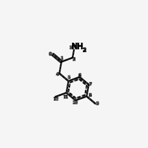 C=C(CN)Cc1ccc(C)cc1C